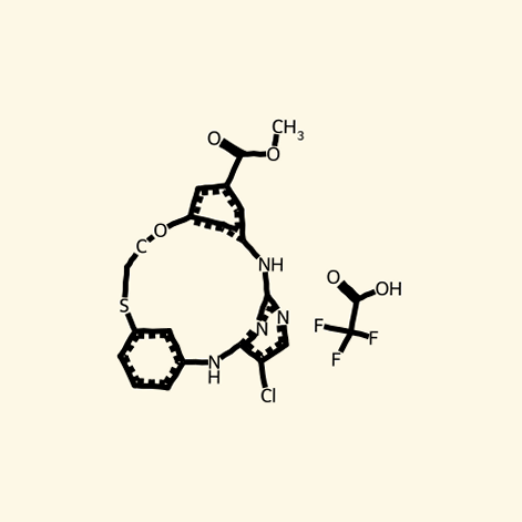 COC(=O)c1cc2cc(c1)OCCSc1cccc(c1)Nc1nc(ncc1Cl)N2.O=C(O)C(F)(F)F